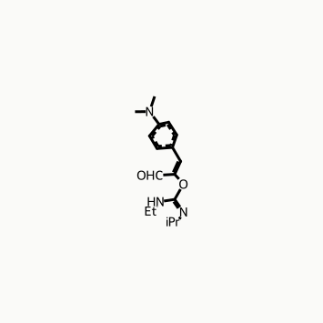 CCN/C(=N\C(C)C)O/C(C=O)=C/c1ccc(N(C)C)cc1